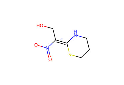 O=[N+]([O-])/C(CO)=C1/NCCCS1